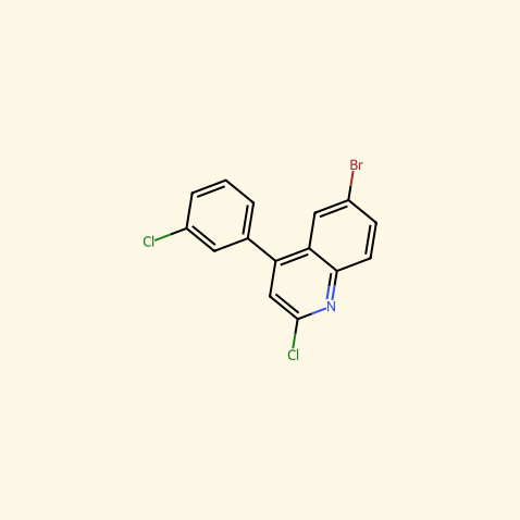 Clc1cccc(-c2cc(Cl)nc3ccc(Br)cc23)c1